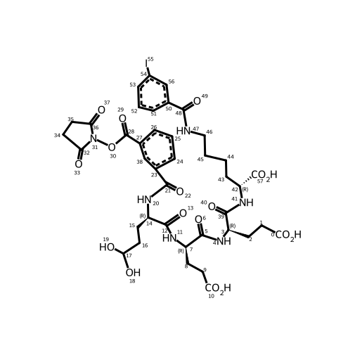 O=C(O)CC[C@@H](NC(=O)[C@@H](CCC(=O)O)NC(=O)[C@@H](CCC(O)O)NC(=O)c1cccc(C(=O)ON2C(=O)CCC2=O)c1)C(=O)N[C@H](CCCCNC(=O)c1cccc(I)c1)C(=O)O